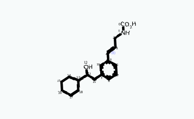 O=C(O)NC/C=C/c1cccc(CC(O)C2CCCCC2)c1